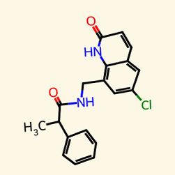 CC(C(=O)NCc1cc(Cl)cc2ccc(=O)[nH]c12)c1ccccc1